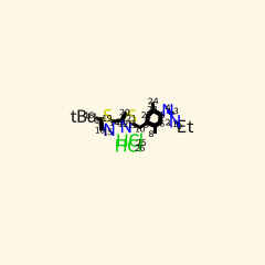 CCN(C)/C=N\c1cc(C)c(Cc2nc(-c3ncc(C(C)(C)C)s3)cs2)cc1C.Cl.Cl